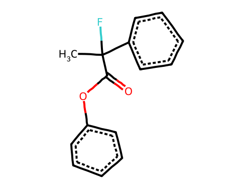 CC(F)(C(=O)Oc1ccccc1)c1ccccc1